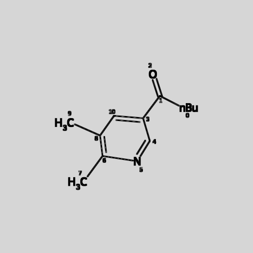 CCCCC(=O)c1cnc(C)c(C)c1